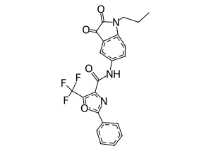 CCCN1C(=O)C(=O)c2cc(NC(=O)c3nc(-c4ccccc4)oc3C(F)(F)F)ccc21